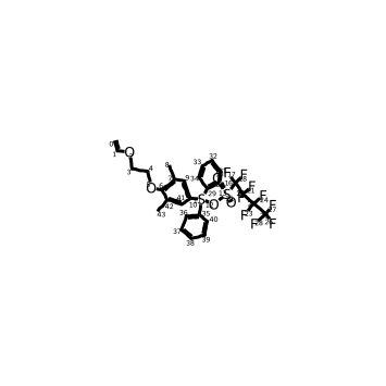 C=COCCOc1c(C)cc(S(OS(=O)(=O)C(F)(F)C(F)(F)C(F)(F)C(F)(F)F)(c2ccccc2)c2ccccc2)cc1C